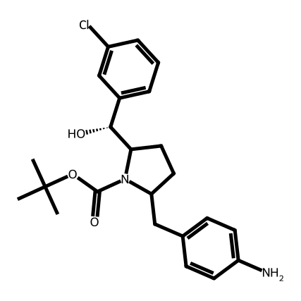 CC(C)(C)OC(=O)N1C(Cc2ccc(N)cc2)CCC1[C@H](O)c1cccc(Cl)c1